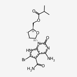 CC(C)C(=O)OC[C@@H]1[CH][CH][C@@H](n2c(=O)nc(N)c3c(C(N)=O)c(Br)[nH]c32)O1